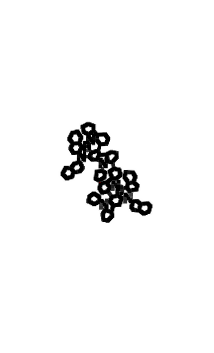 c1ccc(-n2c3ccccc3c3cc4c5c(c32)-c2cccc3c6cc(-c7cccc8c9c%10c%11c(cc9n(-c9ccccc9)c78)N(c7ccc8ccccc8c7)c7ccc8ccccc8c7B%11n7c8ccccc8c8cccc-%10c87)ccc6n(c23)B5c2c(ccc3ccccc23)N4c2ccc3ccccc3c2)cc1